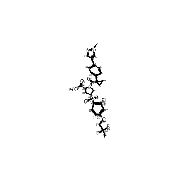 Cn1cc(-c2ccc(C3(C(=O)N4C[C@H](S(=O)(=O)c5ccc(OCC(F)(F)F)cc5Cl)C[C@H]4C(=O)O)CC3)cc2)cn1